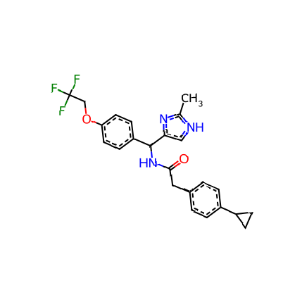 Cc1nc(C(NC(=O)Cc2ccc(C3CC3)cc2)c2ccc(OCC(F)(F)F)cc2)c[nH]1